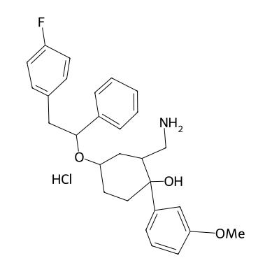 COc1cccc(C2(O)CCC(OC(Cc3ccc(F)cc3)c3ccccc3)CC2CN)c1.Cl